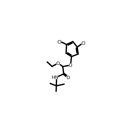 CCOC(Oc1cc(Cl)cc(Cl)c1)C(=O)NC(C)(C)C